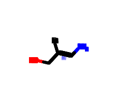 CC/C(=C\N)CO